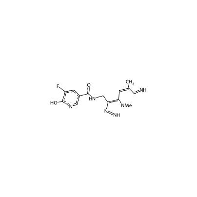 CNC(/C=C(/C)C=N)=C(/CNC(=O)c1cnc(O)c(F)c1)N=N